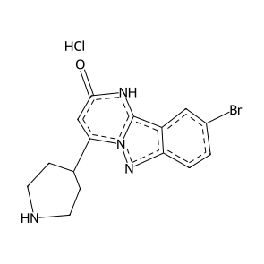 Cl.O=c1cc(C2CCNCC2)n2nc3ccc(Br)cc3c2[nH]1